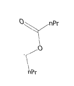 [CH2]CC[CH]OC(=O)CCC